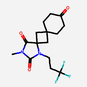 CN1C(=O)N(CCC(F)(F)F)C2(CC3(CCC(=O)CC3)C2)C1=O